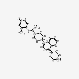 CN(Cc1ccc(F)cc1C(F)(F)F)C1CCN(c2nnc(N3CCNCC3)c3ccccc23)CC1